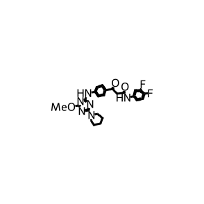 COc1nc(Nc2ccc(C(=O)CC(=O)Nc3ccc(F)c(F)c3)cc2)nc(N2CCCCC2)n1